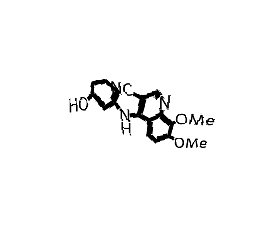 COc1ccc2c(Nc3cccc(O)c3)c(C#N)cnc2c1OC